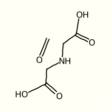 C=O.O=C(O)CNCC(=O)O